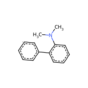 CN(C)c1ccccc1-c1c[c]ccc1